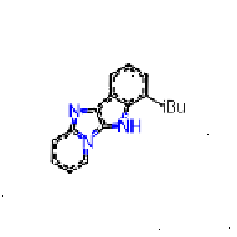 CCC(C)c1cccc2c1[nH]c1c2nc2ccccn21